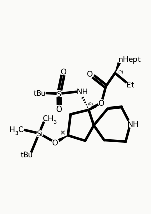 CCCCCCC[C@@H](CC)C(=O)O[C@]1(NS(=O)(=O)C(C)(C)C)C[C@H](O[Si](C)(C)C(C)(C)C)CC12CCNCC2